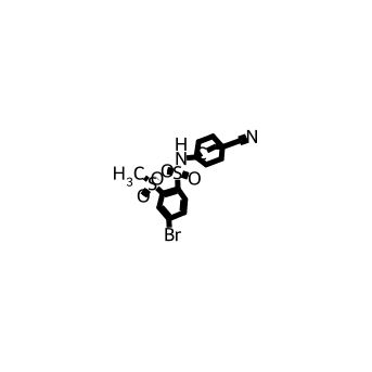 CS(=O)(=O)c1cc(Br)ccc1S(=O)(=O)NC12CCC(C#N)(CC1)CC2